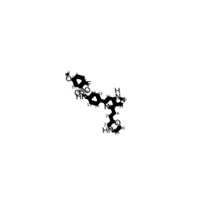 COc1ccc(F)c(S(=O)(=O)Nc2ccc(-c3cc4[nH]ncc4c(CCC4CNCCO4)n3)cc2)c1